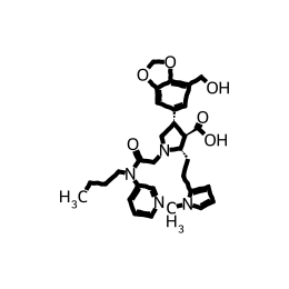 CCCCN(C(=O)CN1C[C@H](c2cc(CO)c3c(c2)OCO3)[C@@H](C(=O)O)[C@@H]1CCc1cccn1C)c1cccnc1